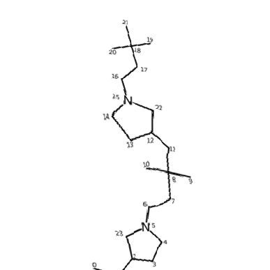 COC1CCN(CCC(C)(C)CC2CCN(CCC(C)(C)C)C2)C1